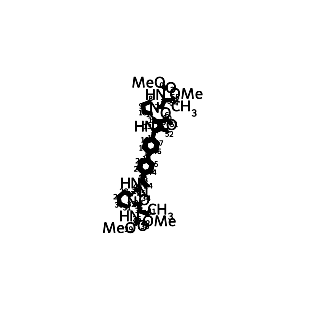 COC(=O)N[C@H](C(=O)N1CCC[C@H]1c1[nH]c(-c2ccc(-c3ccc(-c4cnc([C@@H]5CCCCN5C(=O)[C@@H](NC(=O)OC)[C@@H](C)OC)[nH]4)cc3)cc2)c2c1COC2)C(C)OC